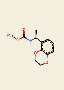 C[C@H](NC(=O)OC(C)(C)C)c1cccc2c1OCCO2